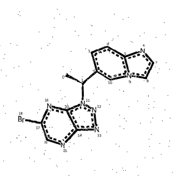 C[C@@H](c1ccc2nccn2c1)n1nnc2ncc(Br)nc21